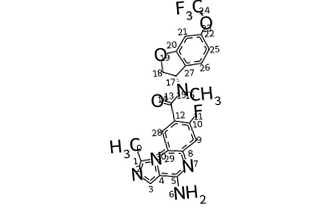 Cc1ncc2c(N)nc3cc(F)c(C(=O)N(C)[C@@H]4COc5cc(OC(F)(F)F)ccc54)cc3n12